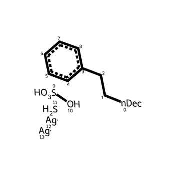 CCCCCCCCCCCCc1ccccc1.O=S(=O)(O)O.S.[Ag].[Ag]